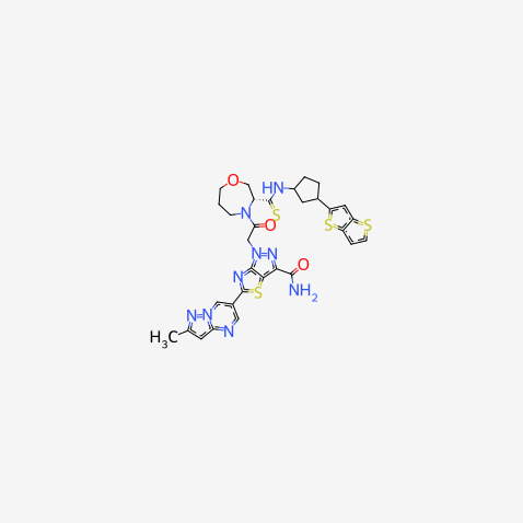 Cc1cc2ncc(-c3nc4c(s3)c(C(N)=O)nn4CC(=O)N3CCCOC[C@@H]3C(=S)NC3CCC(c4cc5sccc5s4)C3)cn2n1